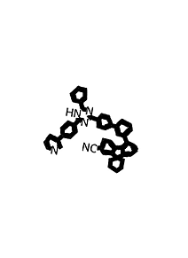 N#Cc1ccc2c(c1)C1(CCCCC1)c1cc#cc(-c3cccc(-c4ccc(C5=NC(c6ccccc6)NC(c6ccc(-c7cccnc7)cc6)=N5)cc4)c3)c1-2